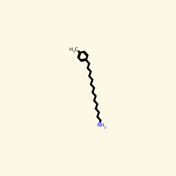 Cc1ccc(CCCCCCCCCCCCCCCN)cc1